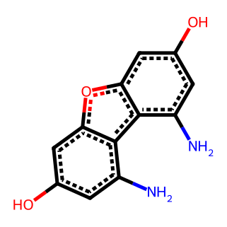 Nc1cc(O)cc2oc3cc(O)cc(N)c3c12